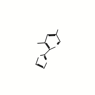 Clc1cnc(-c2nc[c]s2)c(Cl)c1